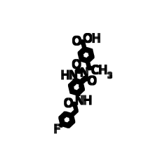 CC(c1ccc(C(=O)O)cc1)n1c(=O)[nH]c2ccc(NC(=O)Cc3ccc(F)cc3)cc2c1=O